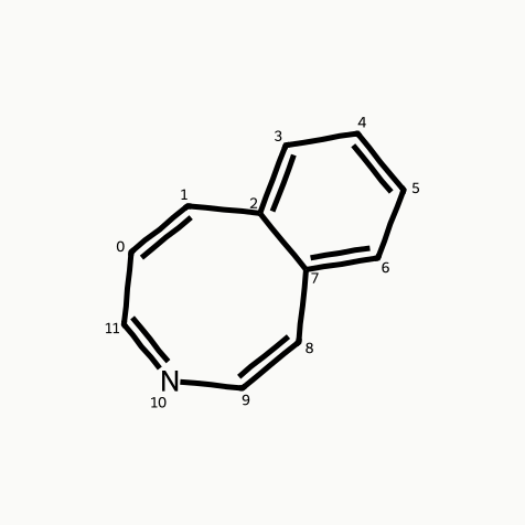 C1=C/c2ccccc2\C=C/N=C\1